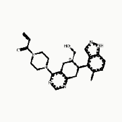 C=CC(=O)N1CCN(c2ncnc3c2C[C@@H](CO)C(c2c(C)ccc4[nH]ncc24)C3)CC1